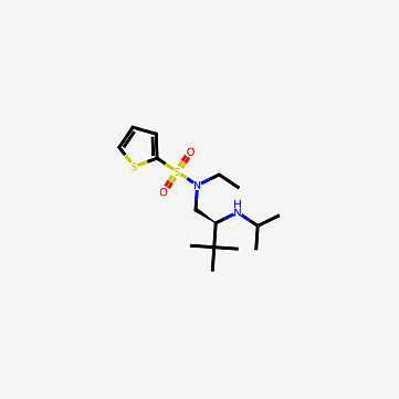 CCN(C[C@@H](NC(C)C)C(C)(C)C)S(=O)(=O)c1cccs1